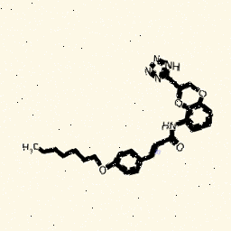 CCCCCCCOc1ccc(/C=C/C(=O)Nc2cccc3c2OC(c2nnn[nH]2)CO3)cc1